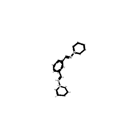 C(=N\N1CCCCC1)/c1cccc(/C=N/N2CCCCC2)c1